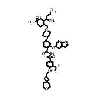 C=C(CCC)C1=C(CN2CCN(c3ccc(C(=O)NS(=O)(=O)c4ccc(NCC5CC6(CCOCC6)C5)c([N+](=O)[O-])c4)c(Oc4cnc5[nH]ccc5c4)c3)CC2)CCC(C)(C)C1